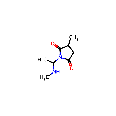 CNC(C)N1C(=O)CC(C)C1=O